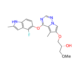 COC[C@@H](O)COc1cn2ncnc(Oc3ccc4[nH]c(C)cc4c3F)c2c1C